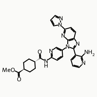 COC(=O)[C@H]1CC[C@H](C(=O)Nc2ccc(-n3c(-c4cccnc4N)nc4ccc(-n5cccn5)nc43)cn2)CC1